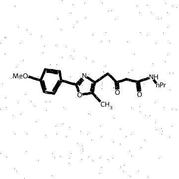 CCCNC(=O)CC(=O)Cc1nc(-c2ccc(OC)cc2)oc1C